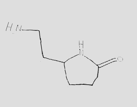 NCCC1CCC(=O)N1